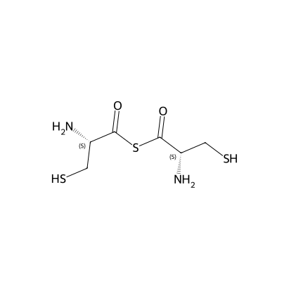 N[C@@H](CS)C(=O)SC(=O)[C@@H](N)CS